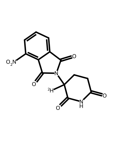 [2H]C1(N2C(=O)c3cccc([N+](=O)[O-])c3C2=O)CCC(=O)NC1=O